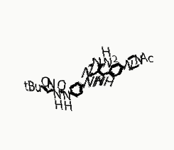 CC(=O)N1CCN(c2ccc(C(=N)c3c(N)ncnc3Nc3ccc(NC(=O)Nc4cc(C(C)(C)C)on4)cc3)cc2)CC1